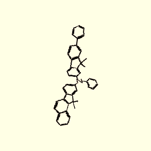 CC1(C)c2cc(-c3ccccc3)ccc2-c2ccc(N(c3ccccc3)c3ccc4c(c3)C(C)(C)c3c-4ccc4ccccc34)cc21